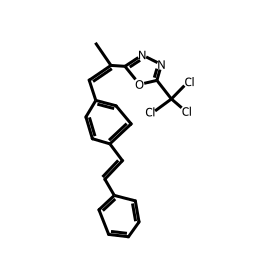 CC(=Cc1ccc(C=Cc2ccccc2)cc1)c1nnc(C(Cl)(Cl)Cl)o1